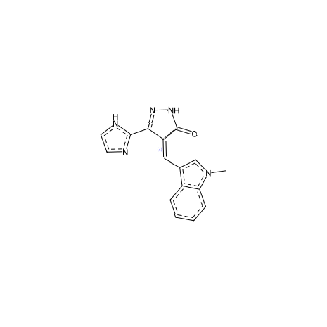 Cn1cc(/C=C2\C(=O)NN=C2c2ncc[nH]2)c2ccccc21